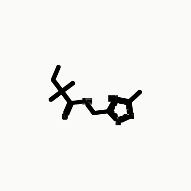 CCC(C)(C)C(=O)NCc1nnc(C)[nH]1